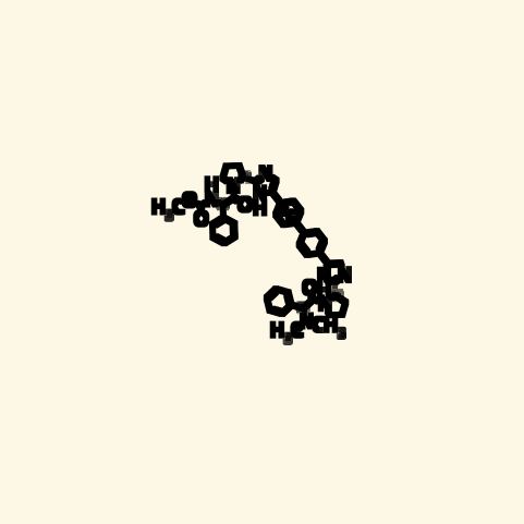 COC(=O)N[C@@H](C(=O)N1CCC[C@H]1c1ncc(C23CCC(c4ccc(-c5cnc([C@@H]6CCCN6C(=O)[C@@H](c6ccccc6)N(C)C)[nH]5)cc4)(CC2)CC3)[nH]1)c1ccccc1